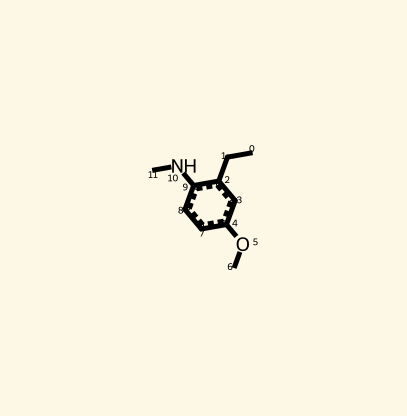 CCc1cc(OC)ccc1NC